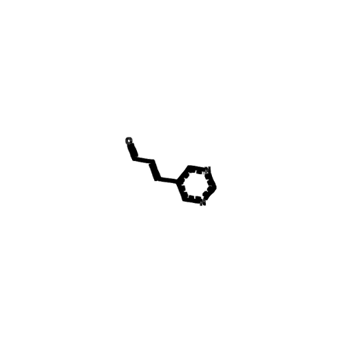 O=C/C=C/c1cncnc1